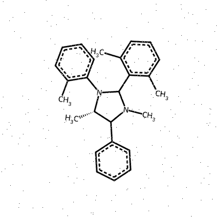 Cc1ccccc1N1C(c2c(C)cccc2C)N(C)C(c2ccccc2)[C@@H]1C